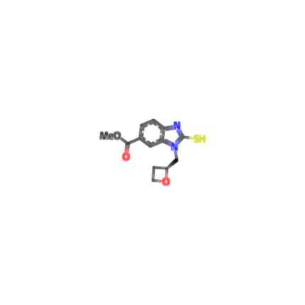 COC(=O)c1ccc2nc(S)n(C[C@@H]3CCO3)c2c1